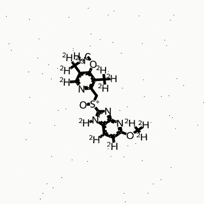 [2H]c1nc(C[S+]([O-])c2nc3nc(OC([2H])([2H])[2H])c([2H])c([2H])c3n2[2H])c(C([2H])([2H])[2H])c(OC)c1C([2H])([2H])[2H]